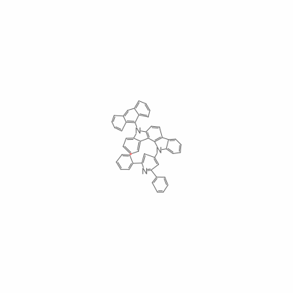 c1ccc(-c2cc(-n3c4ccccc4c4ccc5c(c6ccccc6n5-c5c6ccccc6cc6ccccc56)c43)cc(-c3ccccc3)n2)cc1